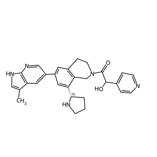 Cc1c[nH]c2ncc(-c3cc4c(c([C@@H]5CCCN5)c3)CN(C(=O)C(O)c3ccncc3)CC4)cc12